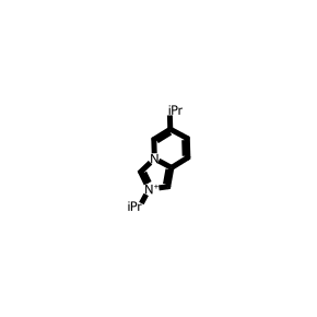 CC(C)c1ccc2c[n+](C(C)C)cn2c1